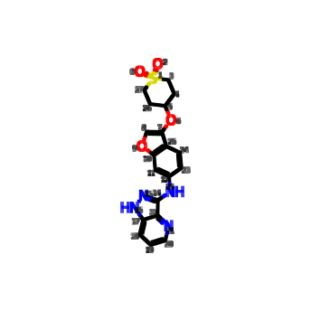 O=S1(=O)CCC(Oc2coc3cc(Nc4n[nH]c5cccnc45)ccc23)CC1